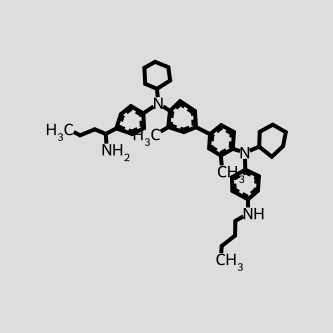 CCCCNc1ccc(N(c2ccc(-c3ccc(N(c4ccc(C(N)CCC)cc4)C4CCCCC4)c(C)c3)cc2C)C2CCCCC2)cc1